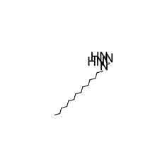 CCCCCCCCCCCCCCN1C=NNN1